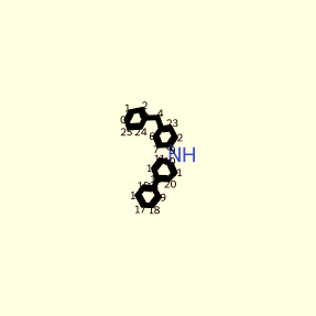 c1ccc(Cc2ccc(Nc3ccc(-c4ccccc4)cc3)cc2)cc1